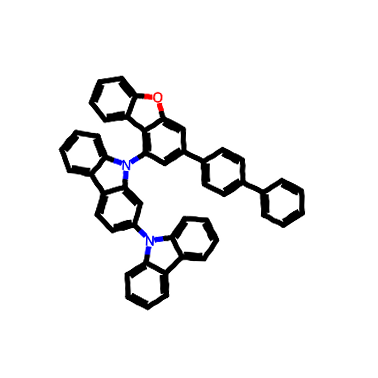 c1ccc(-c2ccc(-c3cc(-n4c5ccccc5c5ccc(-n6c7ccccc7c7ccccc76)cc54)c4c(c3)oc3ccccc34)cc2)cc1